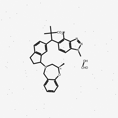 Cc1c(C(c2ccc3c(c2)C(N2Cc4ccccc4O[C@H](C)C2)CC3)C(C)(C)C(=O)O)ccc2c1nnn2C.O=CO